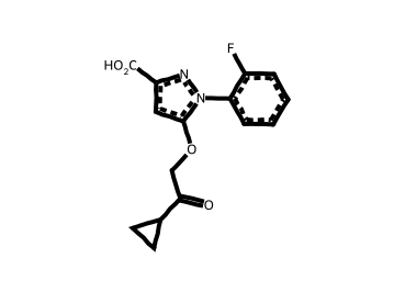 O=C(O)c1cc(OCC(=O)C2CC2)n(-c2ccccc2F)n1